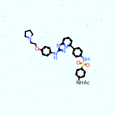 CC(=O)Nc1ccc(S(=O)(=O)Nc2ccc(-c3cccc4nc(Nc5ccc(OCCN6CCCC6)cc5)nn34)cc2)cc1